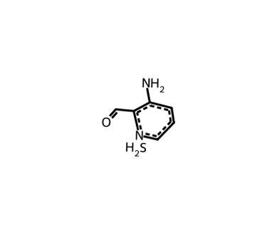 Nc1cccnc1C=O.S